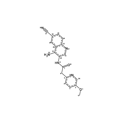 COc1ccc(CC(=O)Nc2cnc3ccc(C#N)cc3c2N)nc1